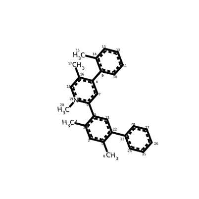 Cc1cc(C)c(-c2cc(-c3ccccc3C)c(C)c[n+]2C)cc1-c1ccccc1